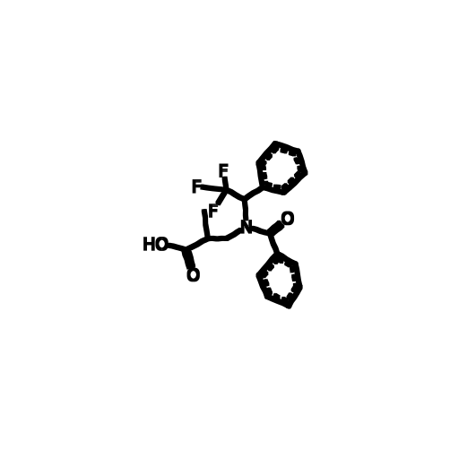 CC(CN(C(=O)c1ccccc1)C(c1ccccc1)C(F)(F)F)C(=O)O